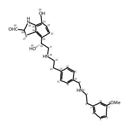 COc1cccc(CCNCc2ccc(CCNC[C@H](O)c3ccc(O)c4c3SC(C=O)N4)cc2)c1